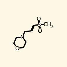 CS(=O)(=O)/C=C/CN1CCOCC1